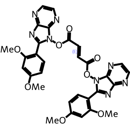 COc1ccc(-c2nc3nccnc3n2OC(=O)/C=C/C(=O)On2c(-c3ccc(OC)cc3OC)nc3nccnc32)c(OC)c1